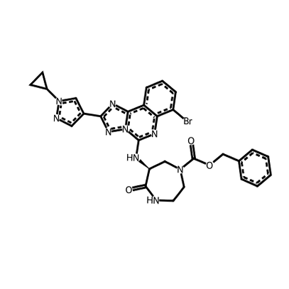 O=C1NCCN(C(=O)OCc2ccccc2)C[C@@H]1Nc1nc2c(Br)cccc2c2nc(-c3cnn(C4CC4)c3)nn12